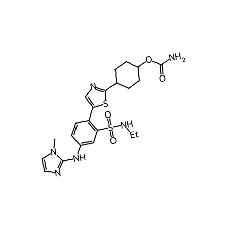 CCNS(=O)(=O)c1cc(Nc2nccn2C)ccc1-c1cnc(C2CCC(OC(N)=O)CC2)s1